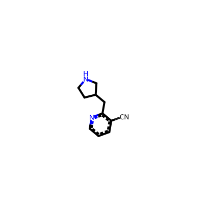 N#Cc1cccnc1CC1CCNC1